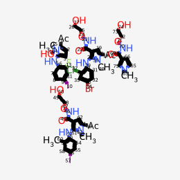 CC(=O)C1=CC=C(Nc2ccc(I)cc2F)[N+]1(C)O.CC(=O)c1cc(C(=O)NOCCO)c(Nc2ccc(Br)cc2Cl)n1C.CC(=O)c1cc(C(=O)NOCCO)c(Nc2ccc(I)cc2C)n1C.Cn1ccc(C(=O)NOCCO)c1